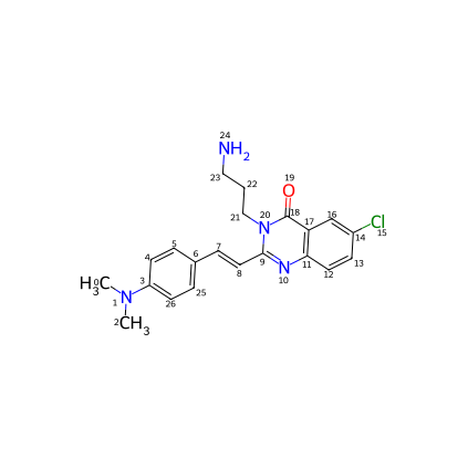 CN(C)c1ccc(/C=C/c2nc3ccc(Cl)cc3c(=O)n2CCCN)cc1